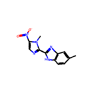 Cc1ccc2[nH]c(-c3ncc([N+](=O)[O-])n3C)nc2c1